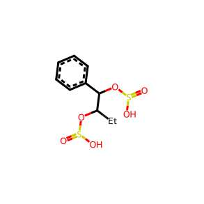 CCC(OS(=O)O)C(OS(=O)O)c1ccccc1